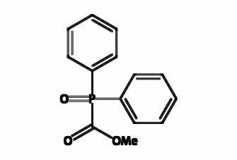 COC(=O)P(=O)(c1ccccc1)c1ccccc1